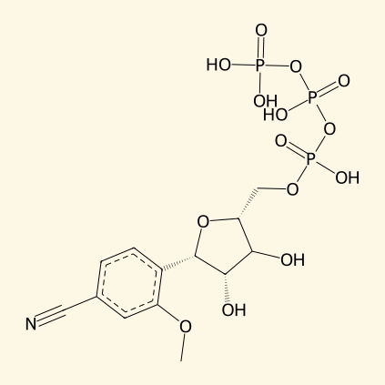 COc1cc(C#N)ccc1[C@@H]1O[C@H](COP(=O)(O)OP(=O)(O)OP(=O)(O)O)C(O)[C@@H]1O